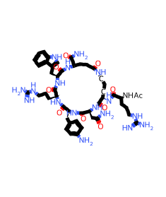 CC(=O)N[C@@H](CCCNC(=N)N)C(=O)N[C@H]1CCCNC(=O)CCC(C(N)=O)NC(=O)[C@H](Cc2c[nH]c3ccccc23)NC(=O)[C@H](CCCNC(=N)N)NC(=O)[C@@H](Cc2ccc(N)cc2)NC(=O)[C@H](CC(N)=O)NC1=O